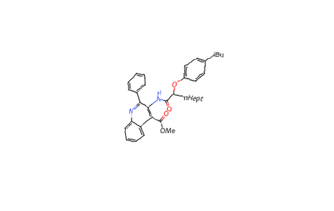 CCCCCCCC(Oc1ccc(C(C)CC)cc1)C(=O)Nc1c(-c2ccccc2)nc2ccccc2c1C(=O)OC